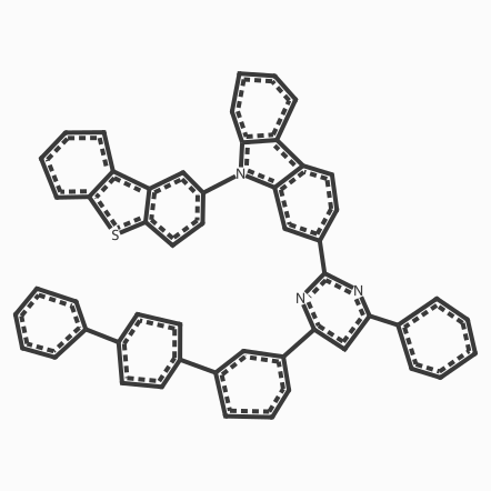 c1ccc(-c2ccc(-c3cccc(-c4cc(-c5ccccc5)nc(-c5ccc6c7ccccc7n(-c7ccc8sc9ccccc9c8c7)c6c5)n4)c3)cc2)cc1